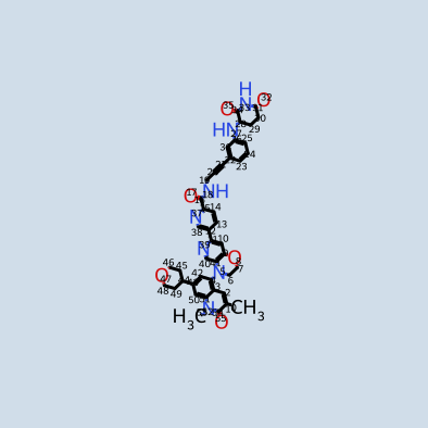 Cc1cc2c(N3CCOc4cc(-c5ccc(C(=O)NCC#Cc6cccc(NC7CCC(=O)NC7=O)c6)nc5)ncc43)cc(C3CCOCC3)cc2n(C)c1=O